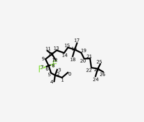 CCC(C)(C)CC(F)(F)CC(C)(C)CCCC(C)(C)CCCCC(C)(C)C